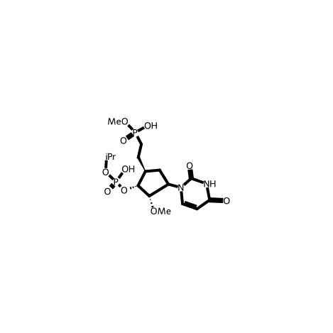 CO[C@H]1C(n2ccc(=O)[nH]c2=O)C[C@H](CCP(=O)(O)OC)[C@H]1OP(=O)(O)OC(C)C